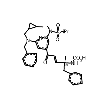 CC1CC1CN(Cc1ccccc1)c1cc(C(=O)C=C[C@@](C)(Cc2ccccc2)NC(=O)O)cc(N(C)S(=O)(=O)C(C)C)n1